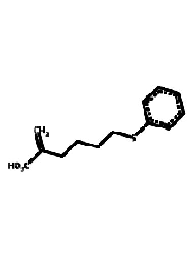 C=C(CCCCSc1ccccc1)C(=O)O